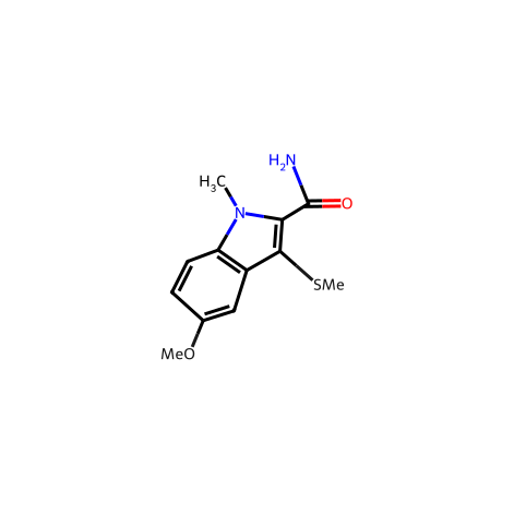 COc1ccc2c(c1)c(SC)c(C(N)=O)n2C